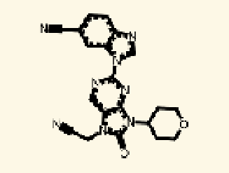 N#CCn1c(=O)n(C2CCOCC2)c2nc(-n3cnc4ccc(C#N)cc43)ncc21